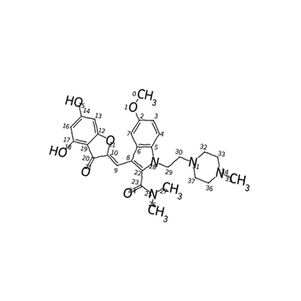 COc1ccc2c(c1)c(/C=C1\Oc3cc(O)cc(O)c3C1=O)c(C(=O)N(C)C)n2CCN1CCN(C)CC1